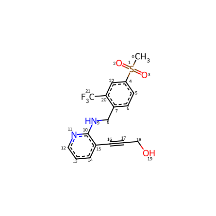 CS(=O)(=O)c1ccc(CNc2ncccc2C#CCO)c(C(F)(F)F)c1